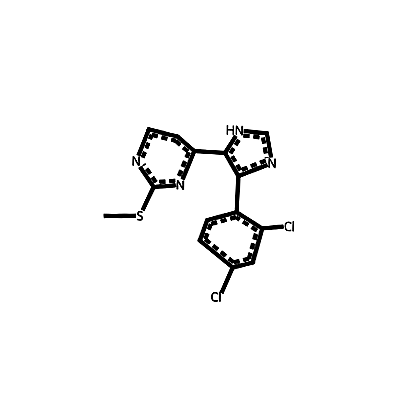 CSc1nccc(-c2[nH]cnc2-c2ccc(Cl)cc2Cl)n1